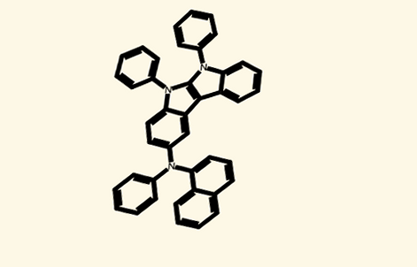 c1ccc(N(c2ccc3c(c2)c2c4ccccc4n(-c4ccccc4)c2n3-c2ccccc2)c2cccc3ccccc23)cc1